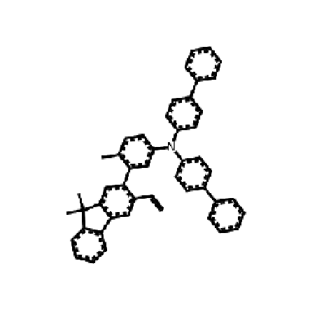 C=Cc1cc2c(cc1-c1cc(N(c3ccc(-c4ccccc4)cc3)c3ccc(-c4ccccc4)cc3)ccc1C)C(C)(C)c1ccccc1-2